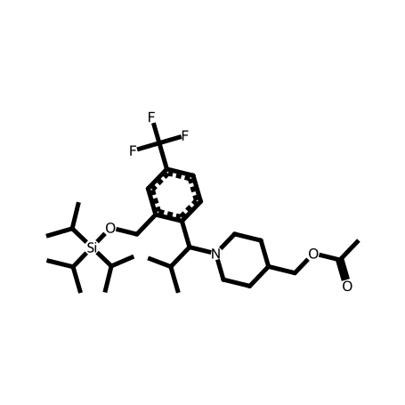 CC(=O)OCC1CCN(C(c2ccc(C(F)(F)F)cc2CO[Si](C(C)C)(C(C)C)C(C)C)C(C)C)CC1